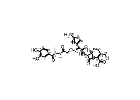 Nc1nc(C(=NOCC(=O)NNC(=O)c2ccc(O)c(O)c2)C(=O)NC2C(=O)N3C(C(=O)O)=C(CCl)CS[C@@H]23)cs1